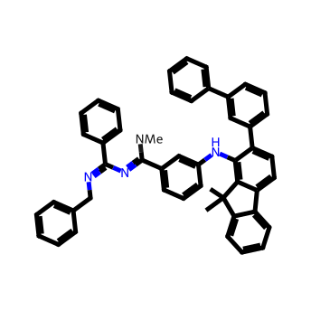 CN/C(=N\C(=N/Cc1ccccc1)c1ccccc1)c1cccc(Nc2c(-c3cccc(-c4ccccc4)c3)ccc3c2C(C)(C)c2ccccc2-3)c1